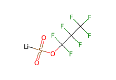 [Li][S](=O)(=O)OC(F)(F)C(F)(F)C(F)(F)F